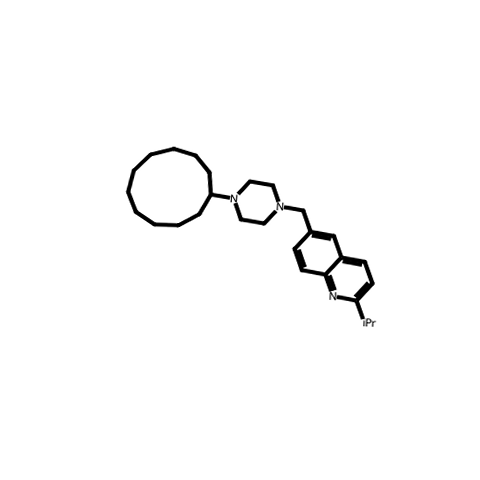 CC(C)c1ccc2cc(CN3CCN(C4CCCCCCCCCC4)CC3)ccc2n1